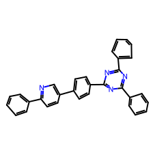 c1ccc(-c2ccc(-c3ccc(-c4nc(-c5ccccc5)nc(-c5ccccc5)n4)cc3)cn2)cc1